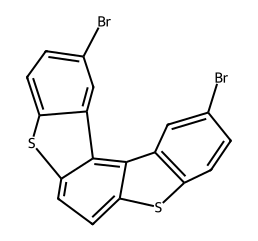 Brc1ccc2sc3ccc4sc5ccc(Br)cc5c4c3c2c1